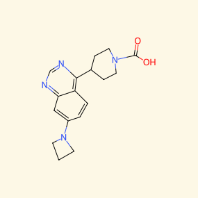 O=C(O)N1CCC(c2ncnc3cc(N4CCC4)ccc23)CC1